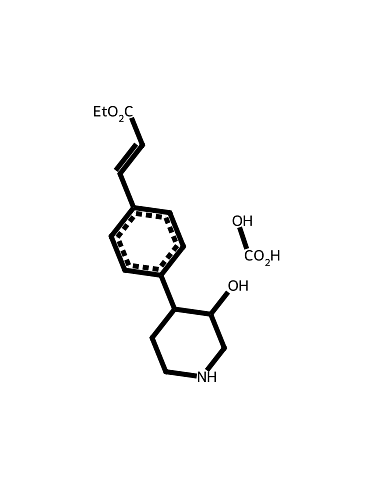 CCOC(=O)C=Cc1ccc(C2CCNCC2O)cc1.O=C(O)O